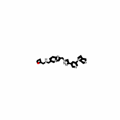 c1cc2nc(Cn3cc(-c4cncc(-n5ccc6cscc65)c4)nn3)cn2cc1CNCC12CC(C1)C2